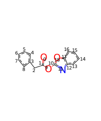 O=C(Cc1ccccc1)Oc1nc2ccccc2o1